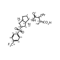 CCCC(C(=O)N[C@H]1CC[C@@H]2CN(S(=O)(=O)c3ccc(C(F)(F)F)cc3)C[C@@H]21)N(C)C(=O)O